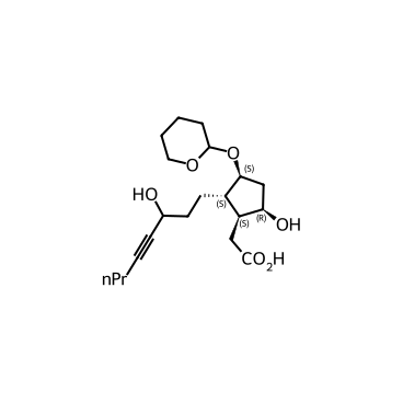 CCCC#CC(O)CC[C@H]1[C@H](CC(=O)O)[C@H](O)C[C@@H]1OC1CCCCO1